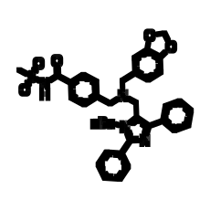 CCCCn1c(-c2ccccc2)nc(-c2ccccc2)c1CN(Cc1ccc(C(=O)NS(C)(=O)=O)cc1)Cc1ccc2c(c1)OCO2